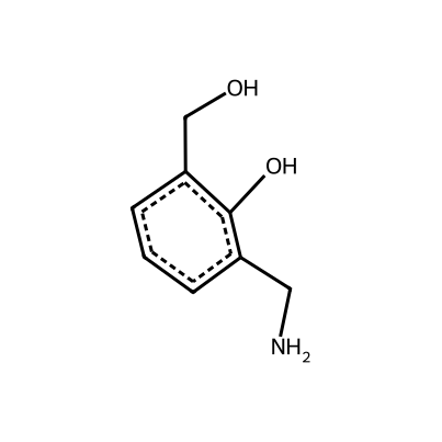 NCc1cccc(CO)c1O